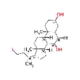 CC[C@@H]1C2C[C@H](O)CCC2(C)[C@H]2CCC3(C)[C@@H]([C@H](C)CCI)CC[C@H]3C2[C@@H]1O